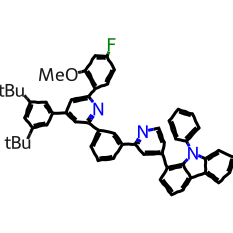 COc1cc(F)ccc1-c1cc(-c2cc(C(C)(C)C)cc(C(C)(C)C)c2)cc(-c2cccc(-c3cc(-c4cccc5c6ccccc6n(-c6ccccc6)c45)ccn3)c2)n1